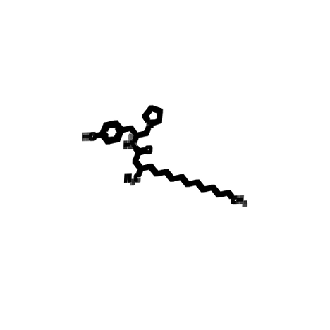 CCCCCCCCCCCCC(C)CC(=O)N[C@@H](Cc1ccc(O)cc1)CN1CCCC1